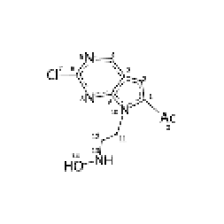 CC(=O)c1cc2cnc(Cl)nc2n1CCNO